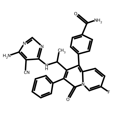 CC(Nc1ncnc(N)c1C#N)c1c(-c2ccccc2)c(=O)n2cc(F)ccc2c1-c1ccc(C(N)=O)cc1